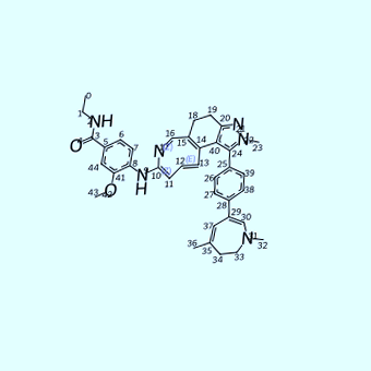 CCNC(=O)c1ccc(NC2=C/C=C/C3=C(/C=N\2)CCc2nn(C)c(-c4ccc(C5=CN(C)CCC(C)=C5)cc4)c23)c(OC)c1